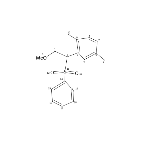 COCC(c1cc(C)ccc1C)S(=O)(=O)c1ccccn1